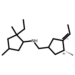 C/C=C1\CC(CNC2CC(C)CC2(C)CC)C[C@H]1C